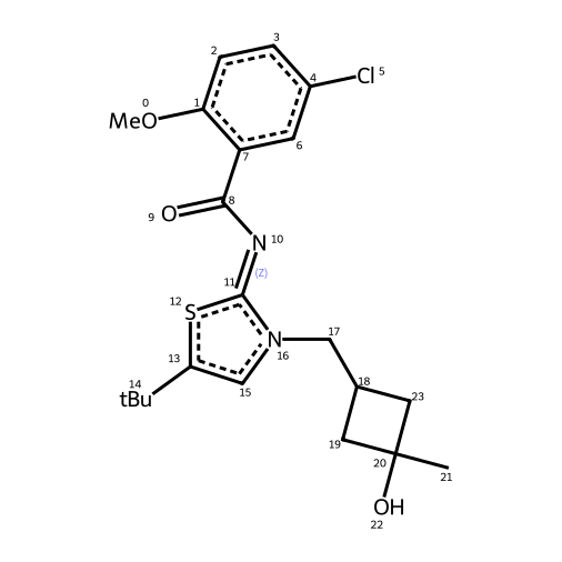 COc1ccc(Cl)cc1C(=O)/N=c1\sc(C(C)(C)C)cn1CC1CC(C)(O)C1